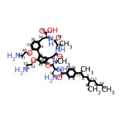 C=C/C(=C\C=C(/C)c1ccc(C(=O)N[C@@H](CN)C(=O)N(C)[C@@H]2C(=O)N[C@@H](C)C(=O)N[C@H](C(=O)O)Cc3ccc(OCCN)c(c3)-c3cc2ccc3OCCN)cc1)CCCC